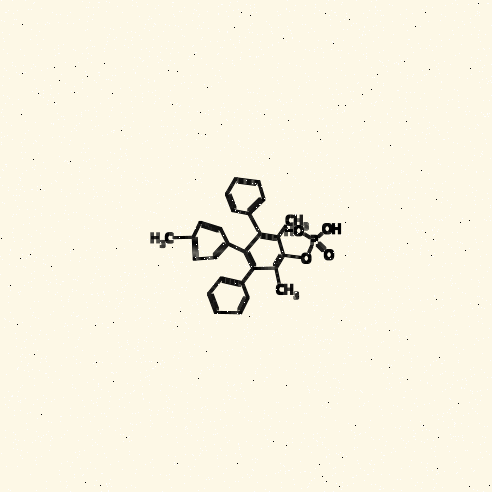 Cc1ccc(-c2c(-c3ccccc3)c(C)c(OP(=O)(O)O)c(C)c2-c2ccccc2)cc1